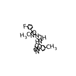 Cc1ccc(-n2nccn2)c(C(=O)N2C[C@@H]3CCN(c4nc(C)c(-c5cccc(F)c5)o4)C[C@@H]32)c1